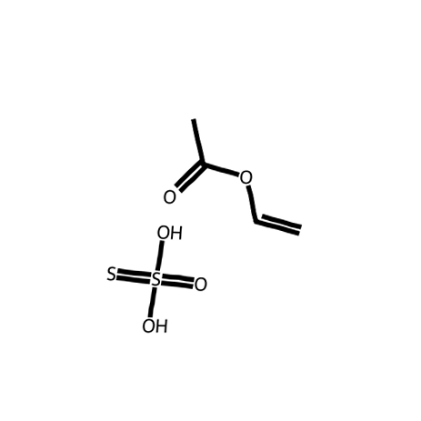 C=COC(C)=O.O=S(O)(O)=S